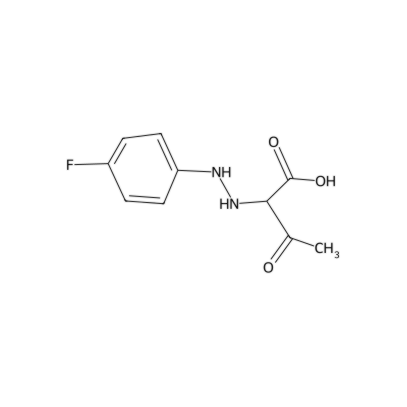 CC(=O)C(NNc1ccc(F)cc1)C(=O)O